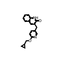 O=c1[nH]c2ccccc2cc1Cc1ccc(OCC2CC2)nc1